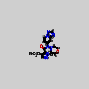 CCOC(=O)c1cnn(C)c1C(=O)N(c1ccn2ncnc2c1)N1CCOCC1